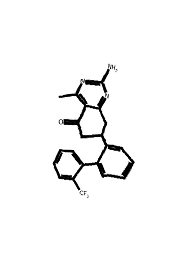 Cc1nc(N)nc2c1C(=O)CC(c1ccccc1-c1ccccc1C(F)(F)F)C2